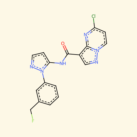 O=C(Nc1ccnn1-c1cccc(CF)c1)c1cnn2ccc(Cl)nc12